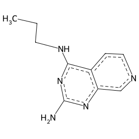 CCCNc1nc(N)nc2cnccc12